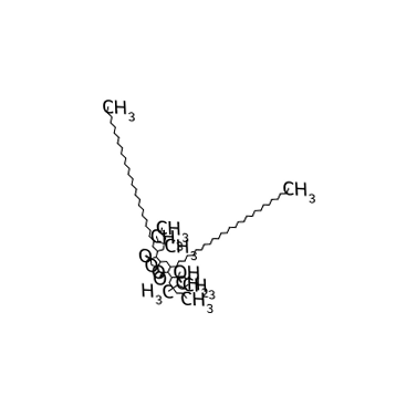 C=C(O)C(CC(C)(CCC)CCC)C(C=O)C(CCCCCCCCCCCCCCCCCCCCCCCCCCCC)CC1C(=O)OC(=O)C1C(CCCCCCCCCCCCCCCCCCCCCCCCCCCC)CC(C)(CC)CCC